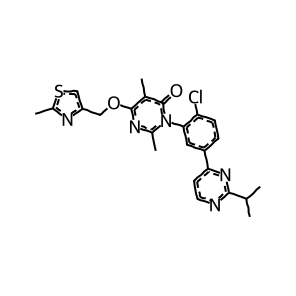 Cc1nc(COc2nc(C)n(-c3cc(-c4ccnc(C(C)C)n4)ccc3Cl)c(=O)c2C)cs1